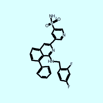 NS(=O)(=O)c1cncc(-c2cc3cccc(-c4ccccc4)c3c(NCc3ccc(F)cc3F)n2)c1